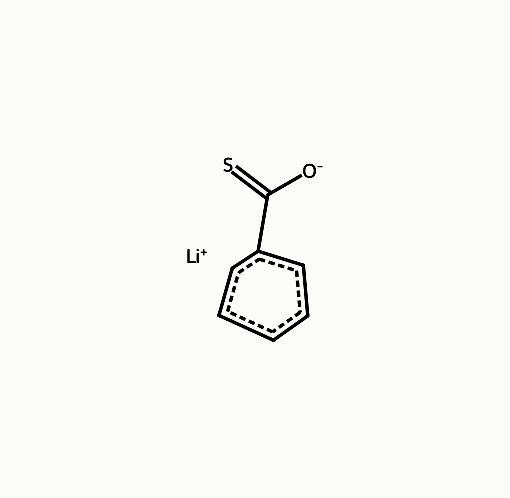 [Li+].[O-]C(=S)c1ccccc1